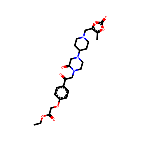 CCOC(=O)COc1ccc(C(=O)CN2CCN(C3CCN(Cc4oc(=O)oc4C)CC3)CC2=O)cc1